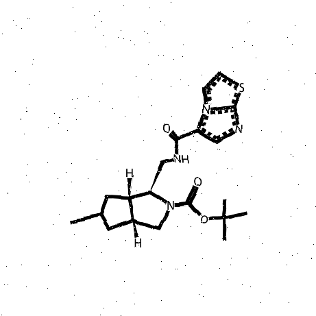 CC1C[C@H]2CN(C(=O)OC(C)(C)C)[C@H](CNC(=O)c3cnc4sccn34)[C@H]2C1